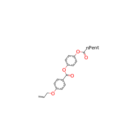 C=CCOc1ccc(C(=O)Oc2ccc(OC(=O)CCCCC)cc2)cc1